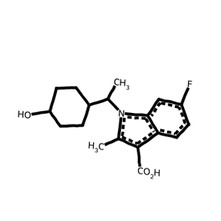 Cc1c(C(=O)O)c2ccc(F)cc2n1C(C)C1CCC(O)CC1